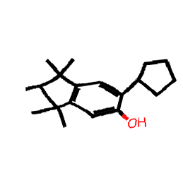 CC1C(C)(C)c2cc(O)c(C3CCCC3)cc2C1(C)C